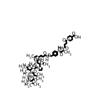 CC[C@H](C)[C@@H]([C@@H](CC(=O)N1CCC[C@H]1[C@H](OC)[C@@H](C)C(=O)N[C@H](/C=C/C(=O)NOCc1ccc(NC(=O)[C@@H](C)NC(=O)CCC(=O)N2CCC(C(=O)O)CC2)cc1)CC(C)C)OC)N(C)C(=O)[C@@H](NC(=O)[C@H](C(C)C)N(C)C)C(C)C